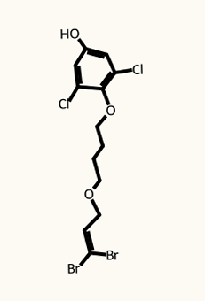 Oc1cc(Cl)c(OCCCCOCC=C(Br)Br)c(Cl)c1